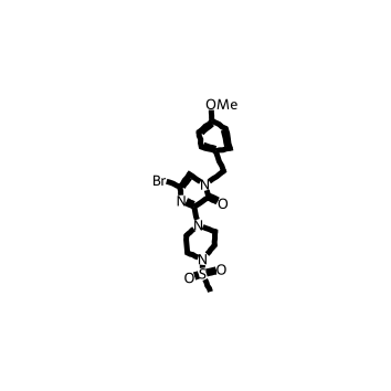 COc1ccc(Cn2cc(Br)nc(N3CCN(S(C)(=O)=O)CC3)c2=O)cc1